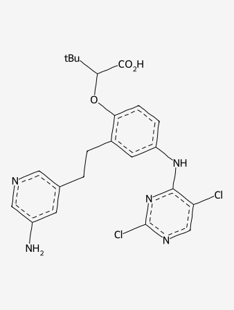 CC(C)(C)C(Oc1ccc(Nc2nc(Cl)ncc2Cl)cc1CCc1cncc(N)c1)C(=O)O